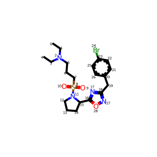 CCN(CC)CCCS(=O)(=O)N1CCCC1c1nc(Cc2ccc(Br)cc2)no1